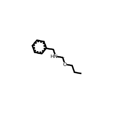 CCCO[CH]NCc1ccccc1